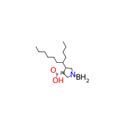 BN1CC(C(CCCC)CCCCCC)[C@@H](C(=O)O)C1